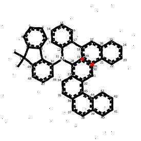 CC1(C)c2ccccc2-c2c(N(c3ccccc3-c3ccc4ccccc4c3)c3cccc4c3ccc3ccc5ccccc5c34)cccc21